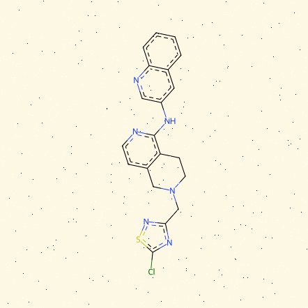 Clc1nc(CN2CCc3c(ccnc3Nc3cnc4ccccc4c3)C2)ns1